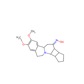 COc1cc2c(cc1OC)C1CC(=NO)C3C4CCCC4C3N1CC2